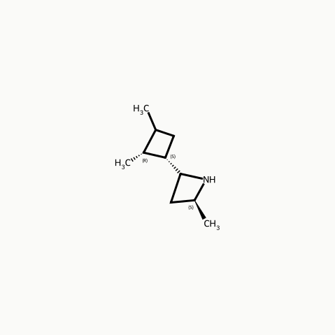 CC1C[C@H](C2C[C@H](C)N2)[C@@H]1C